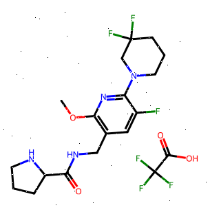 COc1nc(N2CCCC(F)(F)C2)c(F)cc1CNC(=O)C1CCCN1.O=C(O)C(F)(F)F